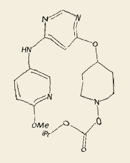 COc1ccc(Nc2cc(OC3CCN(OC(=O)OC(C)C)CC3)ncn2)cn1